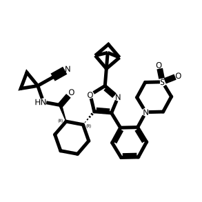 N#CC1(NC(=O)[C@@H]2CCCC[C@H]2c2oc(C3C4CC3C4)nc2-c2ccccc2N2CCS(=O)(=O)CC2)CC1